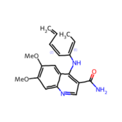 C=C/C=C\C(=C/C)Nc1c(C(N)=O)cnc2cc(OC)c(OC)cc12